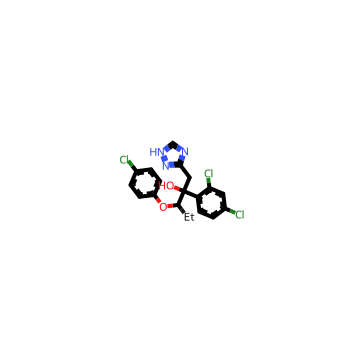 CCC(Oc1ccc(Cl)cc1)C(O)(Cc1nc[nH]n1)c1ccc(Cl)cc1Cl